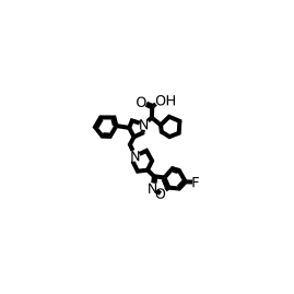 O=C(O)C(C1CCCCC1)N1CC(CN2CCC(c3noc4cc(F)ccc34)CC2)C(c2ccccc2)C1